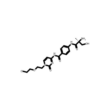 C[C@](N)(CO)C(=O)Nc1ccc(C(=O)Nc2ccn(CCOCCCl)c(=O)n2)cc1